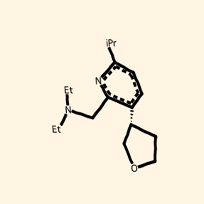 CCN(CC)Cc1nc(C(C)C)ccc1[C@@H]1CCOC1